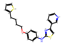 c1cncc(-c2csc(Nc3ccc(OCCCCc4cccs4)cc3)n2)c1